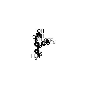 NC(=S)c1cccc(-c2cn(C3CCN(S(=O)(=O)C(F)(F)F)CC3)c3cc(CNC(=O)C4C[C@H](O)CN4)ccc23)c1